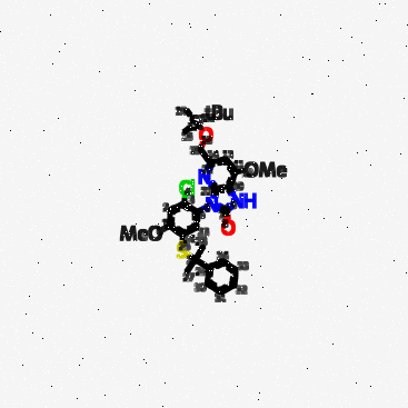 COc1cc(Cl)c(-n2c(=O)[nH]c3c(OC)cc(CO[Si](C)(C)C(C)(C)C)nc32)cc1SC(C)(C)c1ccccc1